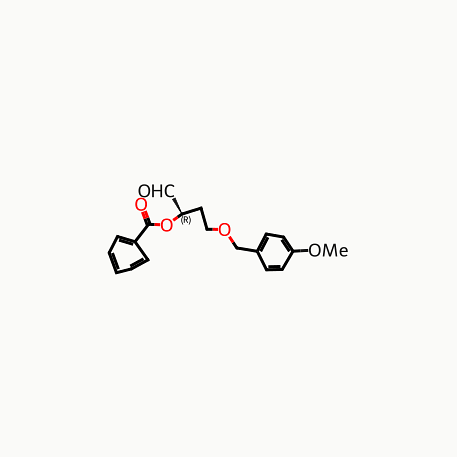 COc1ccc(COCC[C@H](C=O)OC(=O)c2ccccc2)cc1